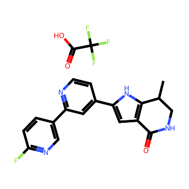 CC1CNC(=O)c2cc(-c3ccnc(-c4ccc(F)nc4)c3)[nH]c21.O=C(O)C(F)(F)F